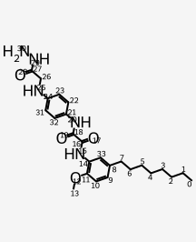 CCCCCCCCc1ccc(OC)c(NC(=O)C(=O)Nc2ccc(NCC(=O)NN)cc2)c1